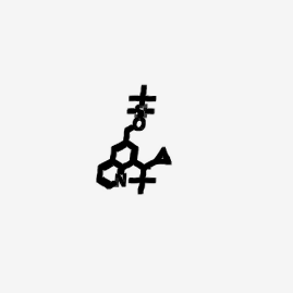 CC(C)(C)[C](c1cc(CO[Si](C)(C)C(C)(C)C)cc2cccnc12)C1CC1